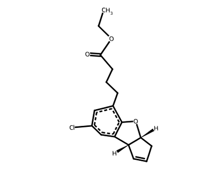 CCOC(=O)CCCc1cc(Cl)cc2c1O[C@@H]1CC=C[C@H]21